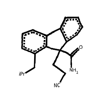 CC(C)Cc1cccc2c1C(CCC#N)(C(N)=O)c1ccccc1-2